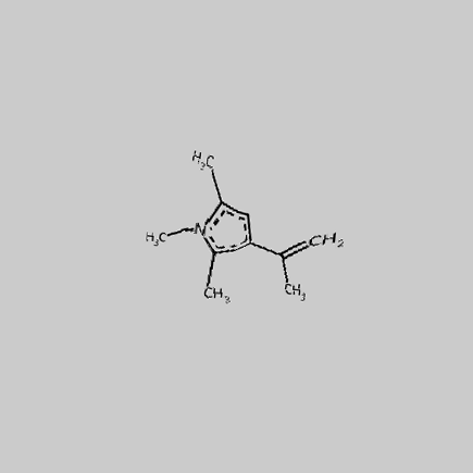 C=C(C)c1cc(C)n(C)c1C